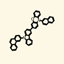 c1ccc2c(c1)Oc1cc(-c3ccc4c(c3)c3ccccc3n4-c3ccc4ccc5ccccc5c4c3)ccc1N2c1ccc2ccccc2c1